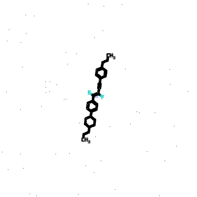 CCCc1ccc(C#C/C(F)=C(\F)c2ccc(C3CCC(CCC)CC3)cc2)cc1